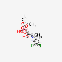 CCOC(OCC)OP(=O)(O)OC[C@@H](O)CNC(C)c1ccc(Cl)c(Cl)c1